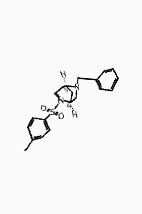 Cc1ccc(S(=O)(=O)N2C[C@@H]3C[C@H]2CN3Cc2ccccc2)cc1